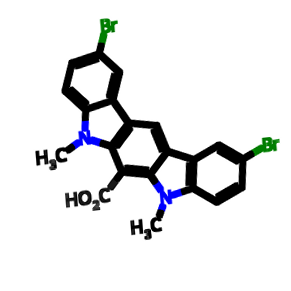 Cn1c2ccc(Br)cc2c2cc3c4cc(Br)ccc4n(C)c3c(C(=O)O)c21